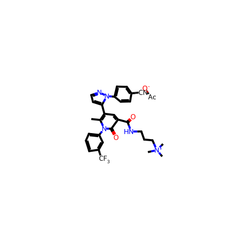 CC(=O)[O-].Cc1c(-c2ccnn2-c2ccc(C#N)cc2)cc(C(=O)NCCC[N+](C)(C)C)c(=O)n1-c1cccc(C(F)(F)F)c1